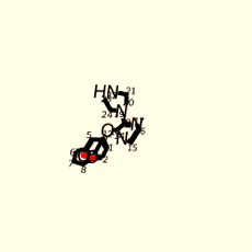 c1cc2c3c(c1)C(CC3)OCC(Oc1nccnc1N1CCNCC1)O2